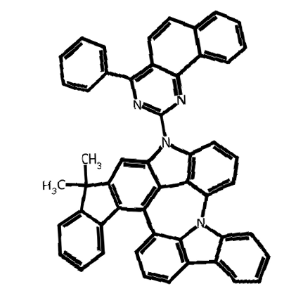 CC1(C)c2ccccc2-c2c1cc1c3c2c2cccc4c5ccccc5n(c5cccc(c35)n1-c1nc(-c3ccccc3)c3ccc5ccccc5c3n1)c42